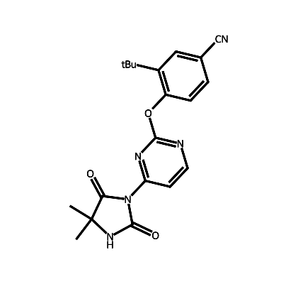 CC1(C)NC(=O)N(c2ccnc(Oc3ccc(C#N)cc3C(C)(C)C)n2)C1=O